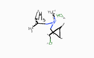 CC(C)N(C)C1(CCl)CC1.Cl